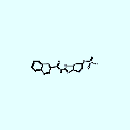 CC(C)S(=O)(=O)Nc1ccc2nc(NC(=O)c3cc4ccccc4cn3)[nH]c2c1